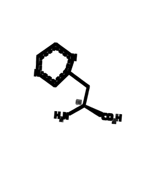 N[C@@H](Cc1cnccn1)C(=O)O